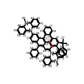 CN1c2ccccc2N(c2ccc3c(-c4ccccc4-c4ccc5c(c4)C(C)(C)c4ccccc4-5)c4cc(N5c6ccccc6N(C)c6ccccc65)ccc4c(-c4ccccc4)c3c2)c2ccccc21